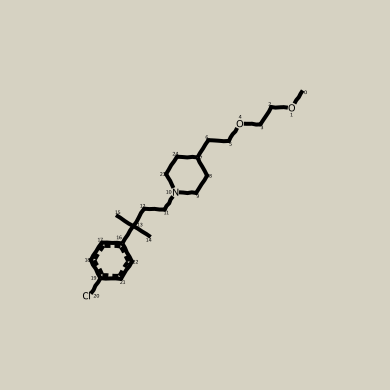 COCCOCCC1CCN(CCC(C)(C)c2ccc(Cl)cc2)CC1